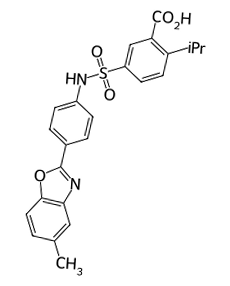 Cc1ccc2oc(-c3ccc(NS(=O)(=O)c4ccc(C(C)C)c(C(=O)O)c4)cc3)nc2c1